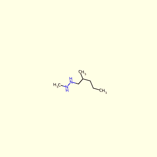 CCCC(C)CNNC